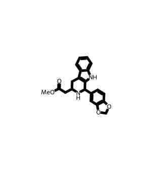 COC(=O)CC1Cc2c([nH]c3ccccc23)C(c2ccc3c(c2)OCO3)N1